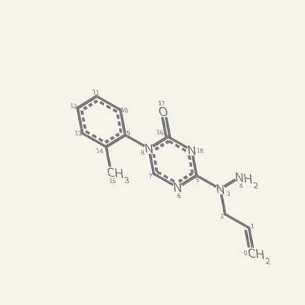 C=CCN(N)c1ncn(-c2ccccc2C)c(=O)n1